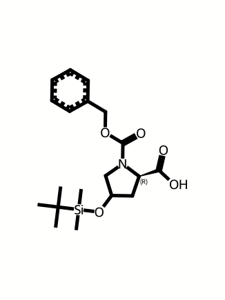 CC(C)(C)[Si](C)(C)OC1C[C@H](C(=O)O)N(C(=O)OCc2ccccc2)C1